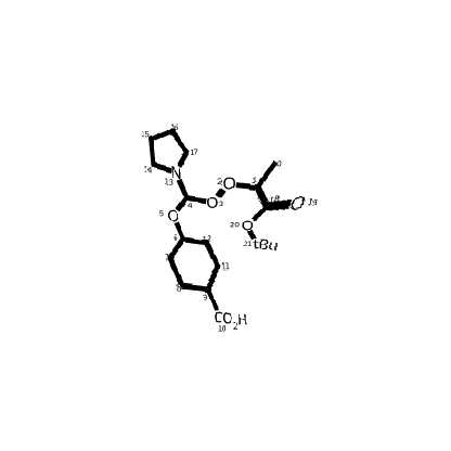 CC(OOC(OC1CCC(C(=O)O)CC1)N1CCCC1)C(=O)OC(C)(C)C